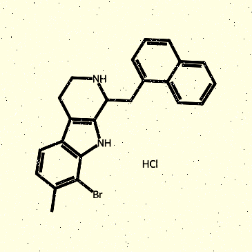 Cc1ccc2c3c([nH]c2c1Br)C(Cc1cccc2ccccc12)NCC3.Cl